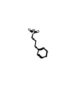 O=[SH](=O)CCCC1=CCCC=C1